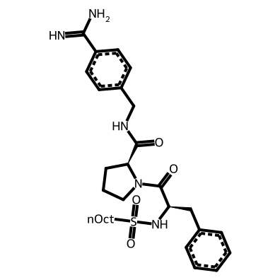 CCCCCCCCS(=O)(=O)N[C@H](Cc1ccccc1)C(=O)N1CCC[C@H]1C(=O)NCc1ccc(C(=N)N)cc1